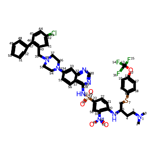 CN(C)CCC(CSc1ccc(OC(F)(F)F)cc1)Nc1ccc(S(=O)(=O)Nc2ncnc3cc(N4CCN(Cc5cc(Cl)ccc5-c5ccccc5)CC4)ccc23)cc1[N+](=O)[O-]